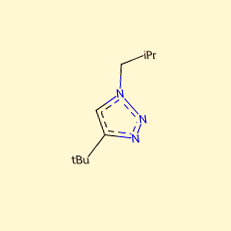 CC(C)Cn1cc(C(C)(C)C)nn1